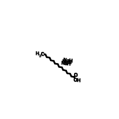 CCCCCCCCCCCCCCCC(=O)O.[NaH].[NaH].[NaH]